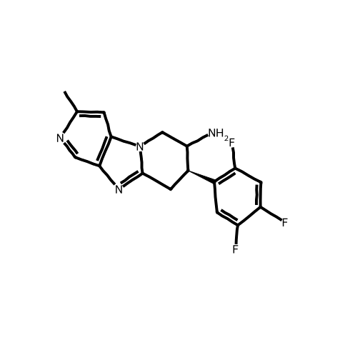 Cc1cc2c(cn1)nc1n2CC(N)[C@@H](c2cc(F)c(F)cc2F)C1